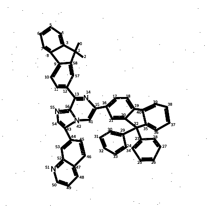 CC1(C)c2ccccc2-c2ccc(-c3nc(-c4ccc5c(c4)C(c4ccccc4)(c4ccccc4)c4ccccc4-5)cn4c(-c5ccc6cccnc6c5)cnc34)cc21